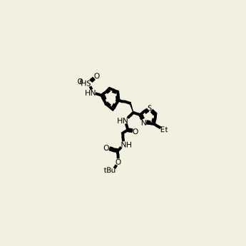 CCc1csc([C@H](Cc2ccc(N[SH](=O)=O)cc2)NC(=O)CNC(=O)OC(C)(C)C)n1